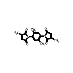 CC1=CC(=O)N(c2cc(C)c(N3C(=O)C=C(C)C3=O)cc2C)C1=O